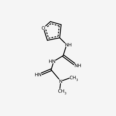 CN(C)C(=N)NC(=N)Nc1ccoc1